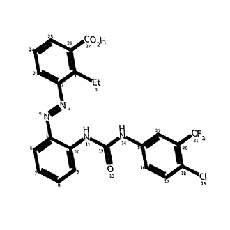 CCc1c(N=Nc2ccccc2NC(=O)Nc2ccc(Cl)c(C(F)(F)F)c2)cccc1C(=O)O